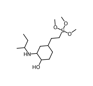 CCC(C)NC1CC(CC[Si](OC)(OC)OC)CCC1O